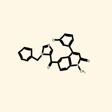 Cn1c(=O)cc(-c2cccc(Cl)c2)c2cc(C(=O)c3cncn3Cc3ccccc3)ccc21